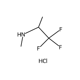 CNC(C)C(F)(F)F.Cl